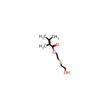 CC(C)=C(C)C(=O)OCCSCCO